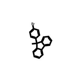 CC1(c2ccc(Br)cc2)c2ccccc2-c2ccccc21